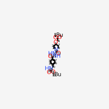 CC(C)(C)OC(=O)COC1CCN(C(=O)NNC(=O)c2ccc(CNC(=O)OC(C)(C)C)cc2)CC1